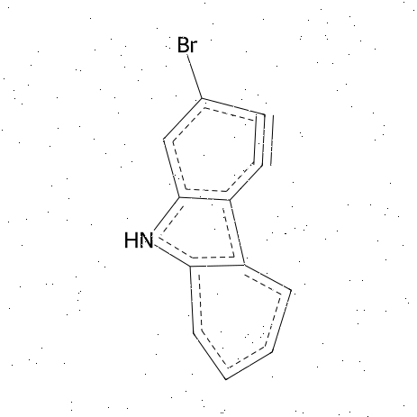 Brc1c#cc2c(c1)[nH]c1ccccc12